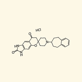 Cl.O=C1CC2(CCN(C3CCc4ccccc4CC3)CC2)Oc2cc3[nH]c(=O)[nH]c3cc21